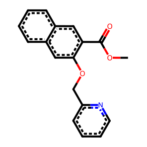 COC(=O)c1cc2ccccc2cc1OCc1ccccn1